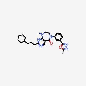 Cc1nnc(-c2cccc(N3CCN(C)c4nc(CCCC5CCCCC5)ncc4C3=O)c2)o1